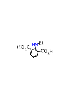 CCNc1c(C(=O)O)cccc1C(=O)O